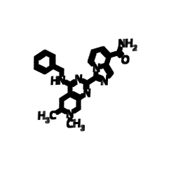 CC1Cc2c(nc(-c3ncc4c(C(N)=O)cccn34)nc2NCc2ccccc2)CN1C